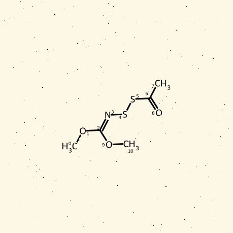 COC(=NSSC(C)=O)OC